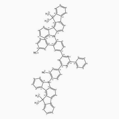 CC1(C)c2ccccc2-c2ccc3c(c21)c1ccccc1n3-c1ccc(-c2nc(-c3ccccc3)nc(-c3ccc(-n4c5ccccc5c5c6c(ccc54)-c4ccccc4C6(C)C)c(-c4cccc(C#N)c4)c3)n2)cc1C#N